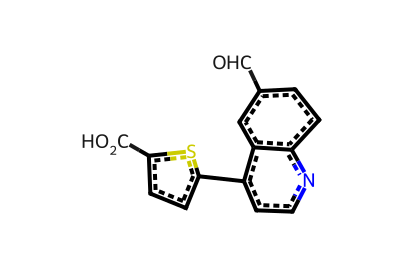 O=Cc1ccc2nccc(-c3ccc(C(=O)O)s3)c2c1